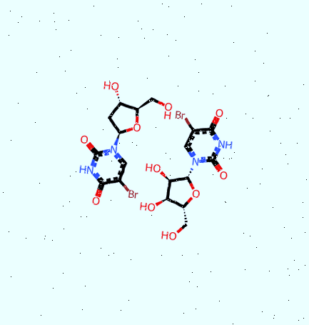 O=c1[nH]c(=O)n([C@@H]2O[C@H](CO)[C@@H](O)[C@H]2O)cc1Br.O=c1[nH]c(=O)n([C@H]2C[C@H](O)[C@@H](CO)O2)cc1Br